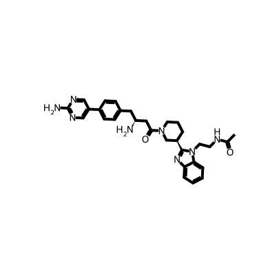 CC(=O)NCCn1c([C@@H]2CCCN(C(=O)C[C@H](N)Cc3ccc(-c4cnc(N)nc4)cc3)C2)nc2ccccc21